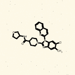 Cc1cc2nc(N3CCC(C(=O)NC4CCOC4)CC3)n(-c3ccc4ccccc4n3)c2cc1Cl